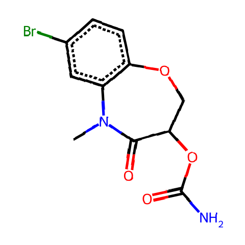 CN1C(=O)C(OC(N)=O)COc2ccc(Br)cc21